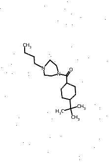 CCCCN1CCN(C(=O)C2CCC(C(C)(C)C)CC2)CC1